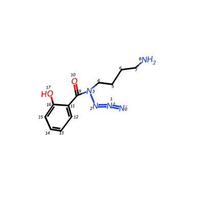 [N-]=[N+]=NN(CCCCN)C(=O)c1ccccc1O